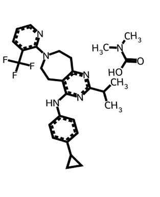 CC(C)c1nc2c(c(Nc3ccc(C4CC4)cc3)n1)CCN(c1ncccc1C(F)(F)F)CC2.CN(C)C(=O)O